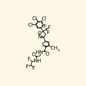 Cc1cc(C2=NOC(c3cc(Cl)c(Cl)c(Cl)c3)(C(F)(F)F)C2)sc1C(=O)NCC(=O)NC(F)C(F)F